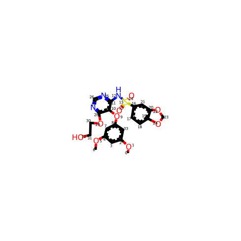 COc1cc(OC)cc(Oc2c(NS(=O)(=O)c3ccc4c(c3)OCO4)ncnc2OCCO)c1